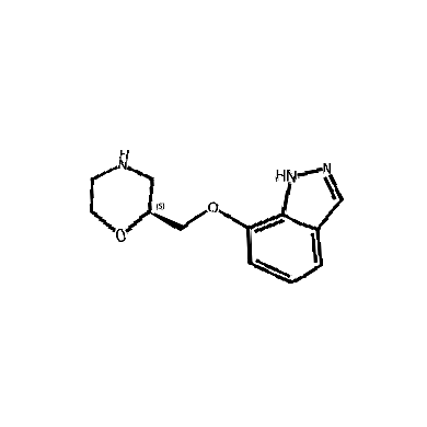 c1cc(OC[C@@H]2CNCCO2)c2[nH]ncc2c1